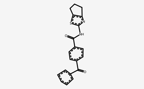 O=C(Nc1nc2c(s1)CCC2)c1ccc(C(=O)c2ccccc2)cc1